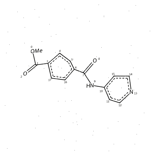 COC(=O)c1ccc(C(=O)Nc2ccncc2)cc1